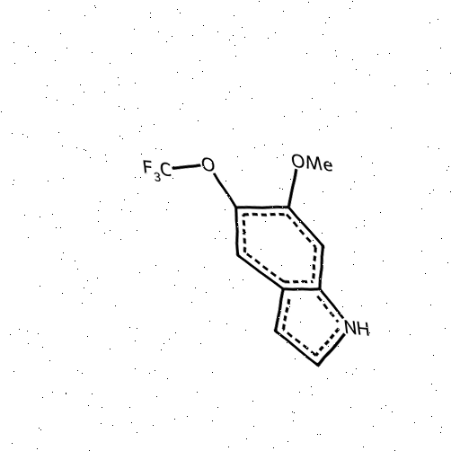 COc1cc2[nH]ccc2cc1OC(F)(F)F